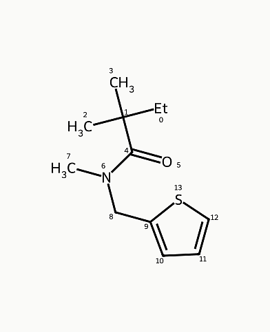 CCC(C)(C)C(=O)N(C)Cc1cccs1